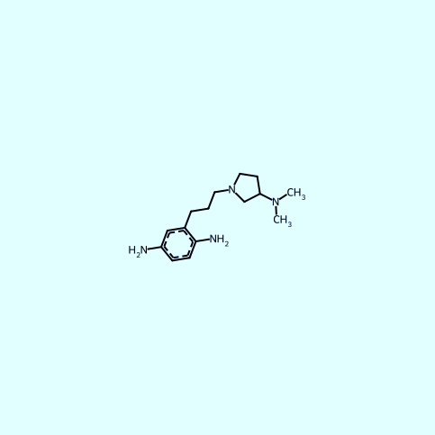 CN(C)C1CCN(CCCc2cc(N)ccc2N)C1